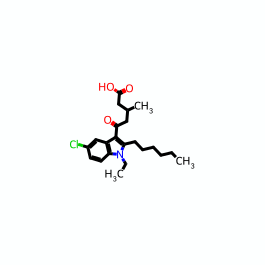 CCCCCCc1c(C(=O)CC(C)CC(=O)O)c2cc(Cl)ccc2n1CC